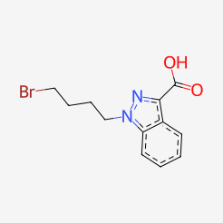 O=C(O)c1nn(CCCCBr)c2ccccc12